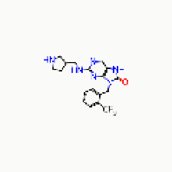 O=c1[nH]c2cnc(NCC3CCNC3)nc2n1Cc1ccccc1C(F)(F)F